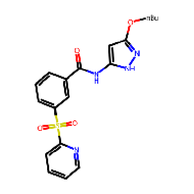 CCCCOc1cc(NC(=O)c2cccc(S(=O)(=O)c3ccccn3)c2)[nH]n1